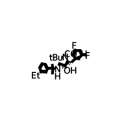 CCc1cccc(C(C)(C)NC[C@@H](O)[C@H](Cc2cc(F)cc(F)c2)N(C(=O)O)C(C)(C)C)c1